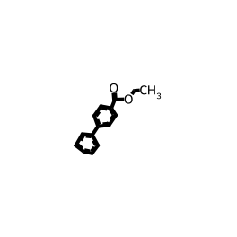 CCOC(=O)c1ccc(-c2ccccc2)cc1